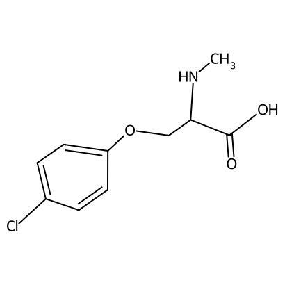 CNC(COc1ccc(Cl)cc1)C(=O)O